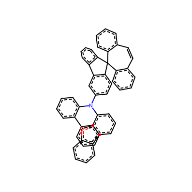 C1=Cc2ccccc2C2(c3ccccc31)c1ccccc1-c1cc(N(c3ccccc3-c3ccccc3)c3cccc4c3oc3ccccc34)ccc12